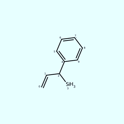 C=CC([SiH3])c1cc[c]cc1